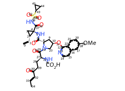 C=C[C@@H]1C[C@]1(NC(=O)[C@@H]1C[C@@H](Oc2nccc3cc(OC)ccc23)CN1C(=O)[C@H](CCC(=O)/C=C/C)NC(=O)O)C(=O)NS(=O)(=O)C1CC1